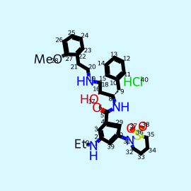 CCNc1cc(C(=O)N[C@@H](Cc2ccccc2)[C@H](O)CNCCc2ccccc2OC)cc(N2CCCCS2(=O)=O)c1.Cl